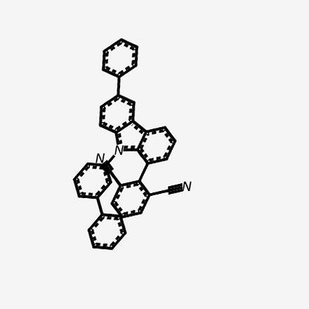 N#Cc1cccc(C#N)c1-c1cccc2c3cc(-c4ccccc4)ccc3n(-c3cccc(-c4ccccc4)c3)c12